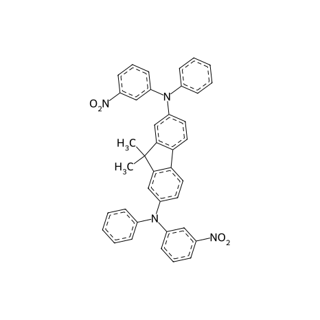 CC1(C)c2cc(N(c3ccccc3)c3cccc([N+](=O)[O-])c3)ccc2-c2ccc(N(c3ccccc3)c3cccc([N+](=O)[O-])c3)cc21